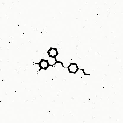 CCC[C@H]1CC[C@H](CCC(Oc2ccc(F)c(F)c2)c2ccccc2)CC1